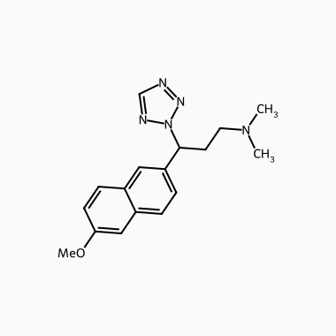 COc1ccc2cc(C(CCN(C)C)n3ncnn3)ccc2c1